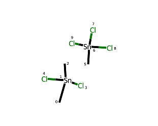 [CH3][Sn]([CH3])([Cl])[Cl].[CH3][Sn]([Cl])([Cl])[Cl]